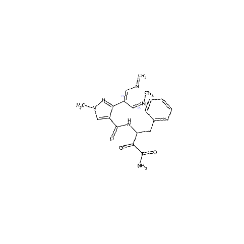 C=N/C=C(\C=N/C)c1nn(C)cc1C(=O)NC(Cc1ccccc1)C(=O)C(N)=O